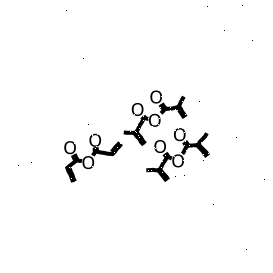 C=C(C)C(=O)OC(=O)C(=C)C.C=C(C)C(=O)OC(=O)C(=C)C.C=CC(=O)OC(=O)C=C